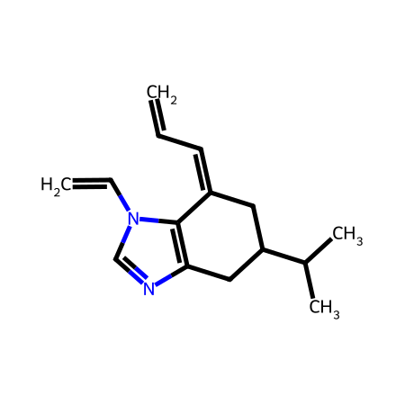 C=C/C=C1/CC(C(C)C)Cc2ncn(C=C)c21